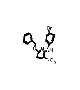 O=[N+]([O-])c1ccc(OCc2ccccc2)nc1Nc1ccc(Br)cc1